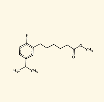 COC(=O)CCCCCc1cc(C(C)C)ccc1F